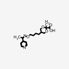 C/C(=N/OCCCCC1COC(C)(C(=O)O)OC1)c1ccncc1